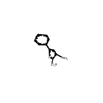 Nc1cc(-c2ccccc2)oc1C(=O)O